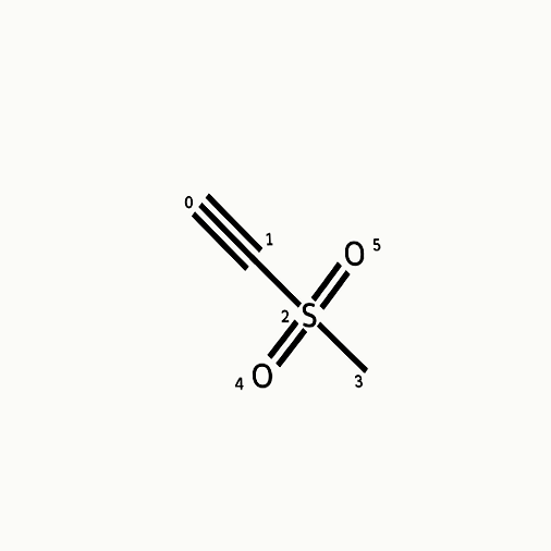 C#CS(C)(=O)=O